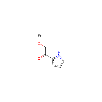 CCOCC(=O)c1ccc[nH]1